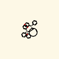 C1=C\C2=C(\P(c3ccccc3)c3ccccc3)CC(P(c3ccccc3)c3ccccc3)c3cc(ccc3CCC/1)CC2